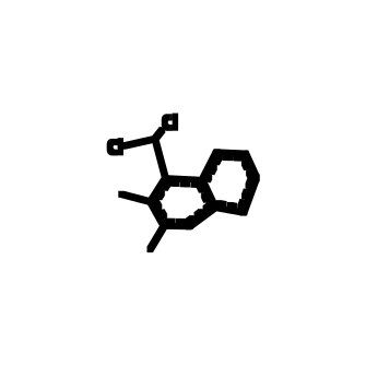 Cc1cc2ccccc2c(C(Cl)Cl)c1C